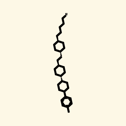 Cc1ccc(C2CCC([C@H]3CC[C@H](CC[C@H]4CC[C@H](CCCCCF)CC4)CC3)CC2)cc1